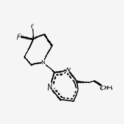 OCc1ccnc(N2CCC(F)(F)CC2)n1